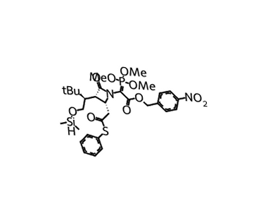 COP(OC)(OC)=C(C(=O)OCc1ccc([N+](=O)[O-])cc1)N1C(=O)[C@@H]([C@@H](CO[SiH](C)C)C(C)(C)C)[C@H]1CC(=O)Sc1ccccc1